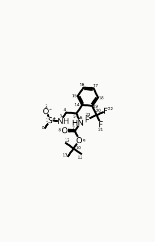 C[S+]([O-])NCC(NC(=O)OC(C)(C)C)c1ccccc1C(F)(F)F